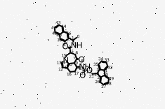 CC(NC(=O)C1CC(=O)C2c3c(ccn3C1)CCC2NC(=O)OCC1c2ccccc2-c2ccccc21)c1ccc2ccccc2c1